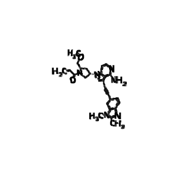 C=CC(=O)N1C[C@@H](n2cc(C#Cc3ccc4nc(C)n(C)c4c3)c3c(N)nccc32)C[C@@H]1COC